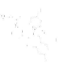 COC(=O)N1CCOC(Cc2c(-c3c(C)cc(Br)cc3Cl)nc3cc(Cl)ccn23)C1